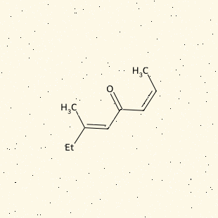 C/C=C\C(=O)/C=C(\C)CC